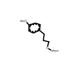 [CH2]CCCCOCCCc1ccc(OC)cc1